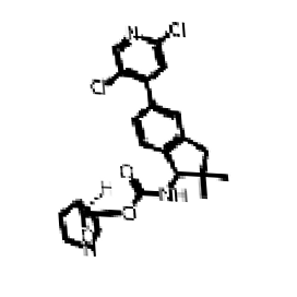 CC1(C)Cc2cc(-c3cc(Cl)ncc3Cl)ccc2C1NC(=O)O[C@H]1CN2CCC1CC2